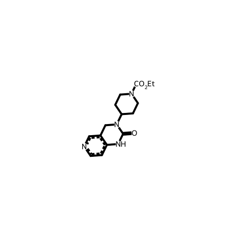 CCOC(=O)N1CCC(N2Cc3cnccc3NC2=O)CC1